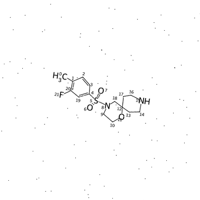 Cc1ccc(S(=O)(=O)N2CCOC3(CCNCC3)C2)cc1F